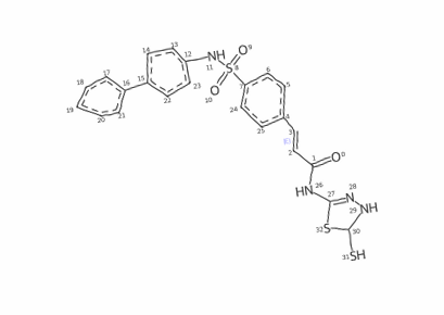 O=C(/C=C/c1ccc(S(=O)(=O)Nc2ccc(-c3ccccc3)cc2)cc1)NC1=NNC(S)S1